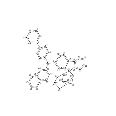 c1ccc(-c2ccc(N(c3ccc4c(c3)C3(c5ccccc5-4)C4CC5CC(C4)CC3C5)c3ccc4ccccc4c3)cc2)cc1